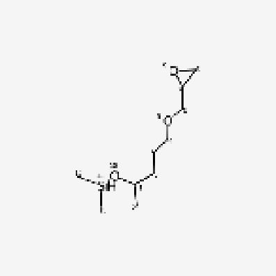 CC(CCCOCC1CO1)O[SiH](C)C